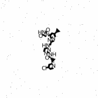 O=C1CN(c2cc(C3CC3)cn3cc(CNc4ccnc(NC(=O)[C@H]5C[C@@H]5c5cc(Cl)ccn5)n4)nc23)C(=O)N1